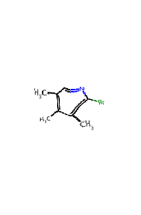 Cc1[c]nc(Br)c(C)c1C